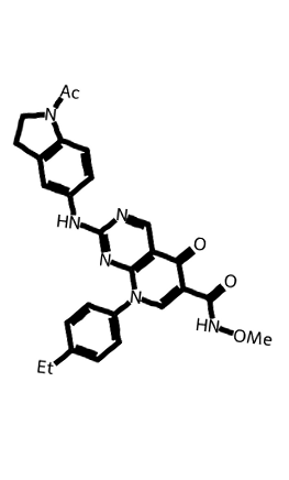 CCc1ccc(-n2cc(C(=O)NOC)c(=O)c3cnc(Nc4ccc5c(c4)CCN5C(C)=O)nc32)cc1